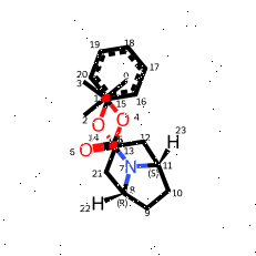 CC(C)(C)OC(=O)N1[C@@H]2CC[C@H]1C[C@@H](Oc1ccccc1)C2